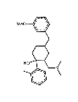 COc1cccc(CC2CCC(O)(c3ccccc3C)C(CN(C)C)C2)c1